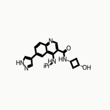 CC(C)Nc1c(C(=O)N[C@H]2C[C@@H](O)C2)cnc2ccc(-c3cn[nH]c3)cc12